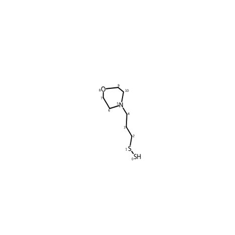 SSCCCN1CCOCC1